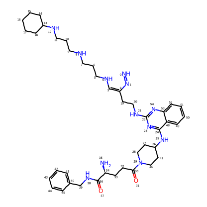 N=N/C(=C\NCCCNCCCNC1CCCCC1)CCNc1nc(NC2CCN(C(=O)CC[C@H](N)C(=O)NCc3ccccc3)CC2)c2ccccc2n1